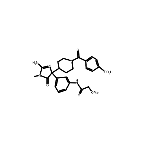 COCC(=O)Nc1cccc(C2(C3CCN(C(=O)c4ccc(C(=O)O)cc4)CC3)N=C(N)N(C)C2=O)c1